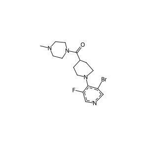 CN1CCN(C(=O)C2CCN(c3c(F)cncc3Br)CC2)CC1